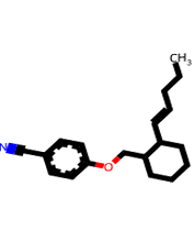 CCCC=CC1CCCCC1COc1ccc(C#N)cc1